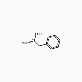 CN[C@@H](C=O)Cc1ccccc1